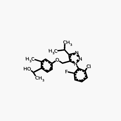 Cc1cc(OCc2c(C(C)C)nnn2-c2c(F)cccc2Cl)ccc1C(C)O